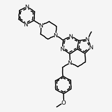 COc1ccc(CN2CCc3nn(C)c4nc(N5CCN(c6cnccn6)CC5)nc2c34)cc1